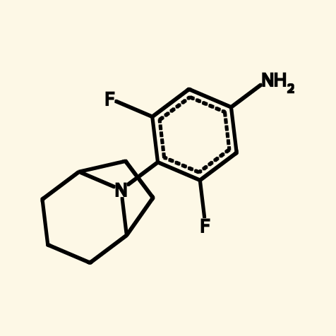 Nc1cc(F)c(N2C3CCCC2CC3)c(F)c1